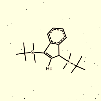 CC(C)(C)[Si](C)(C)C1=[C]([Ho])C([Si](C)(C)C(C)(C)C)c2ccccc21